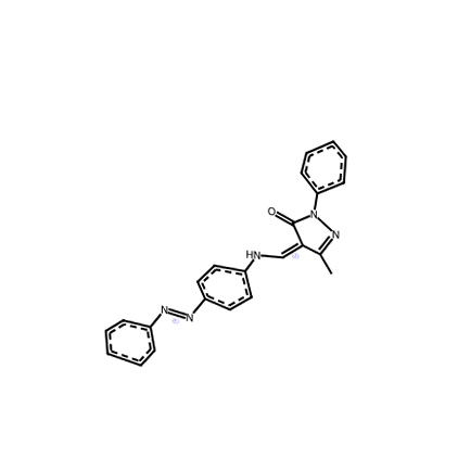 CC1=NN(c2ccccc2)C(=O)/C1=C\Nc1ccc(/N=N/c2ccccc2)cc1